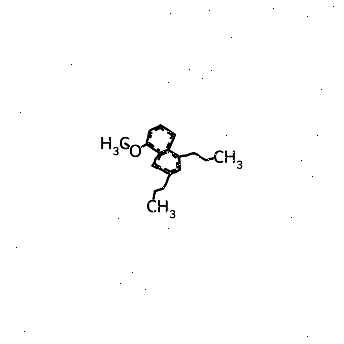 CCCc1cc(CCC)c2cccc(OC)c2c1